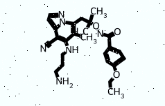 CCOc1ccc(C(=O)[N]OC(C)(C)Cc2c(C)c(NCCCN)c(C#N)c3ccnn23)cc1